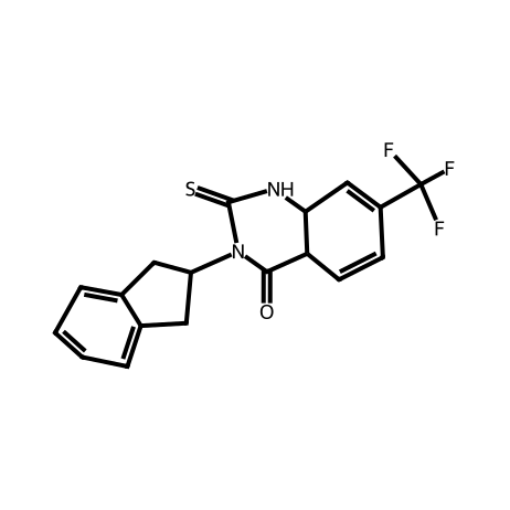 O=C1C2C=CC(C(F)(F)F)=CC2NC(=S)N1C1Cc2ccccc2C1